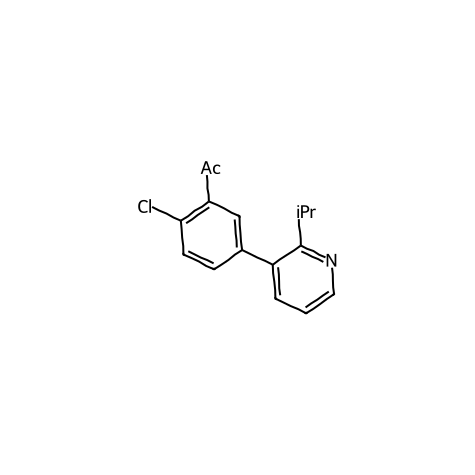 CC(=O)c1cc(-c2cccnc2C(C)C)ccc1Cl